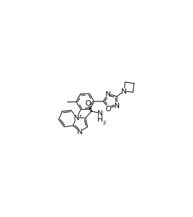 Cc1ccc(-c2nc(N3CCC3)no2)cc1[N+]12C=CC=CC1=NC=C2C(N)=O